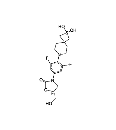 O=C1O[C@@H](CO)CN1c1cc(F)c(N2CCC3(CC2)CS(O)(O)C3)c(F)c1